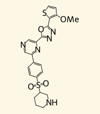 COc1ccsc1-c1nnc(-c2cncc(-c3ccc(S(=O)(=O)C4CCCNC4)cc3)n2)o1